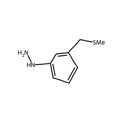 CSCc1cccc(NN)c1